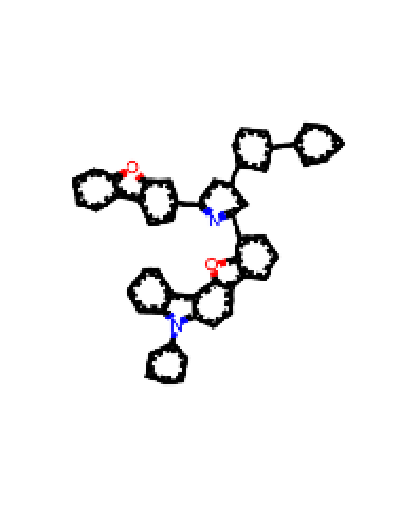 c1ccc(-c2cccc(-c3cc(-c4ccc5c(c4)oc4ccccc45)nc(-c4cccc5c4oc4c5ccc5c4c4ccccc4n5-c4ccccc4)c3)c2)cc1